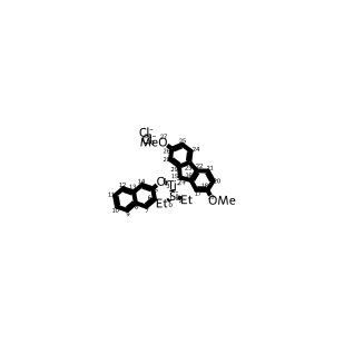 CC[Si](CC)=[Ti+2]([O]c1ccc2ccccc2c1)[CH]1c2cc(OC)ccc2-c2ccc(OC)cc21.[Cl-].[Cl-]